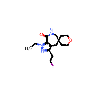 CCn1nc(CCI)c2c1C(=O)NCC1(CCOCC1)C2